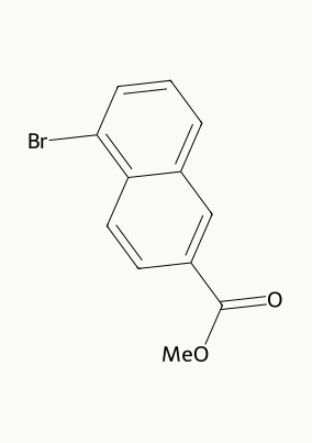 COC(=O)c1ccc2c(Br)cccc2c1